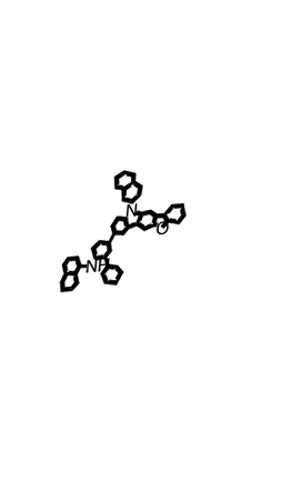 c1ccc(-c2cc(-c3ccc4c(c3)c3cc5oc6ccccc6c5cc3n4-c3ccc4ccccc4c3)ccc2Nc2cccc3ccccc23)cc1